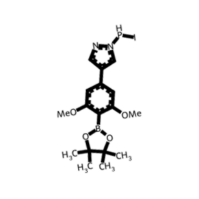 COc1cc(-c2cnn(PI)c2)cc(OC)c1B1OC(C)(C)C(C)(C)O1